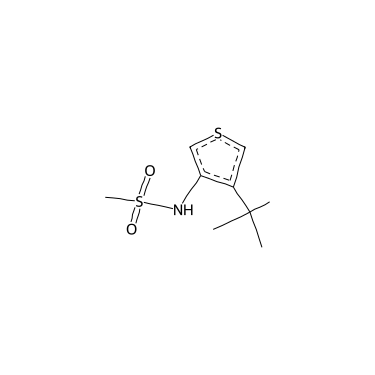 CC(C)(C)c1cscc1NS(C)(=O)=O